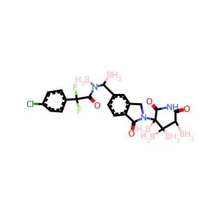 BC(c1ccc2c(c1)CN(C1(B)C(=O)NC(=O)C(B)C1(B)B)C2=O)N(B)C(=O)C(F)(F)c1ccc(Cl)cc1